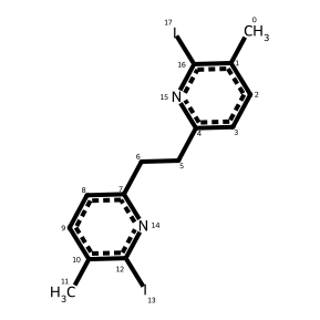 Cc1ccc(CCc2ccc(C)c(I)n2)nc1I